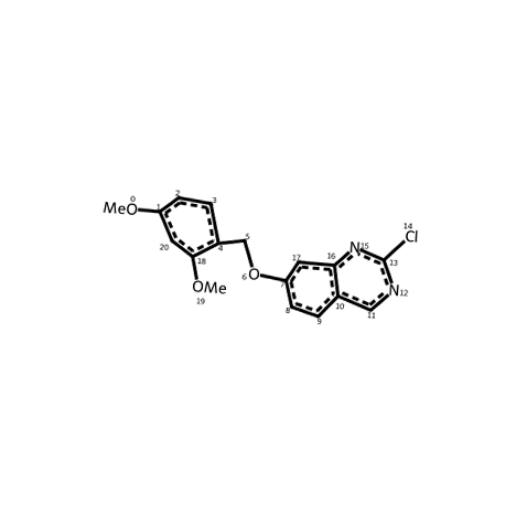 COc1ccc(COc2ccc3cnc(Cl)nc3c2)c(OC)c1